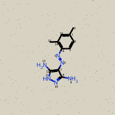 Cc1ccc(N=Nc2c(N)n[nH]c2N)c(C)c1